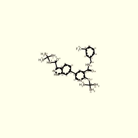 BC(B)(B)NC(=O)c1n[nH]c2cc(-c3cnc(OC(B)(B)B)c(C(=O)NCc4cccc(C(F)(F)F)c4)c3)ccc12